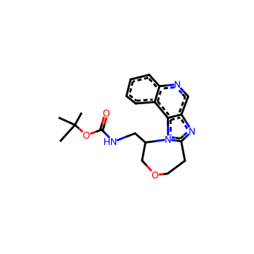 CC(C)(C)OC(=O)NCC1COCCc2nc3cnc4ccccc4c3n21